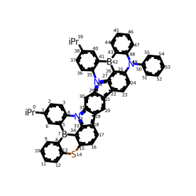 CC(C)c1ccc2c(c1)B1c3ccccc3Sc3ccc4c5cc6c7ccc8c9c7n(c6cc5n-2c4c31)-c1ccc(C(C)C)cc1B9c1ccccc1N8c1ccccc1